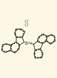 [Cl-].[Cl-].c1ccc2c(c1)-c1c(ccc3ccccc13)[CH]2[Zr+2][CH]1c2ccccc2-c2c1ccc1ccccc21